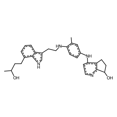 Cc1cc(Nc2ccnc3c2CCC3O)ccc1NCCc1c[nH]c2c(CCC(C)O)cccc12